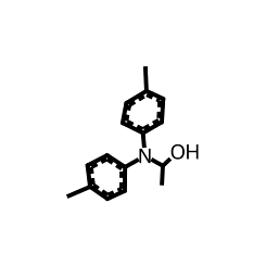 Cc1ccc(N(c2ccc(C)cc2)C(C)O)cc1